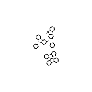 CC1(C)c2cc(N(C3=CCC4C(=C3)c3ccccc3N4c3ccccc3)c3ccc4c(c3)Oc3c(ccc5c3-c3ccccc3C53c5ccccc5-c5ccccc53)O4)ccc2C2C=CC=CC21